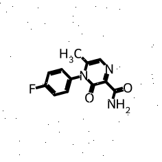 Cc1cnc(C(N)=O)c(=O)n1-c1ccc(F)cc1